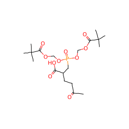 CC(=O)CCC(CP(=O)(OCOC(=O)C(C)(C)C)OCOC(=O)C(C)(C)C)C(=O)O